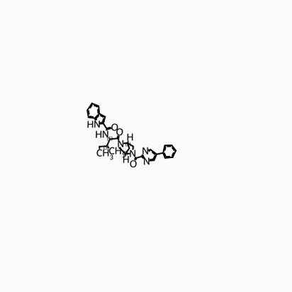 CC[C@H](C)[C@H](NC(=O)c1cc2ccccc2[nH]1)C(=O)N1C[C@@H]2C[C@H]1CN2C(=O)c1ncc(-c2ccccc2)cn1